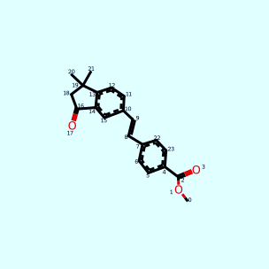 COC(=O)c1ccc(C=Cc2ccc3c(c2)C(=O)CC3(C)C)cc1